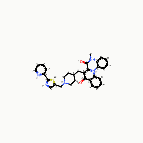 CNC(=O)c1c(CC2CCN(Cc3cnc(-c4ccccn4)s3)CC2)c(=O)c2ccccc2n1-c1ccccc1